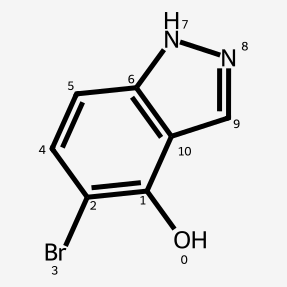 Oc1c(Br)ccc2[nH]ncc12